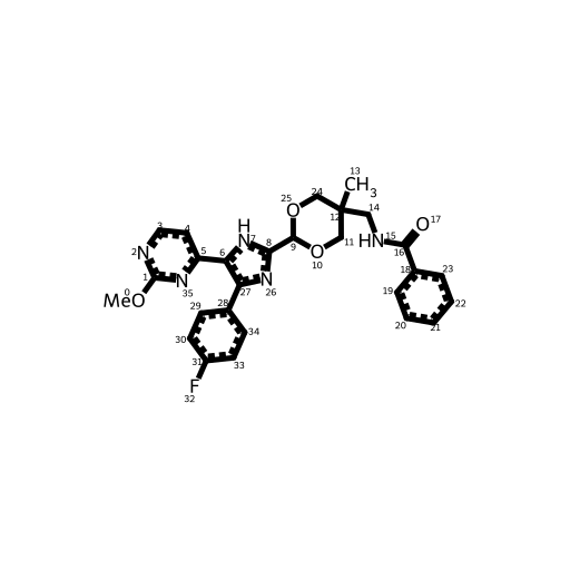 COc1nccc(-c2[nH]c(C3OCC(C)(CNC(=O)c4ccccc4)CO3)nc2-c2ccc(F)cc2)n1